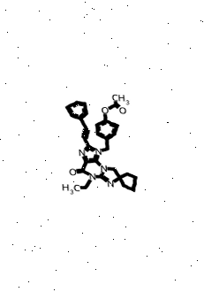 CCN1C(=O)c2nc(C#Cc3ccccc3)n(Cc3ccc(OC(C)=O)cc3)c2N2CC3(CCCC3)N=C12